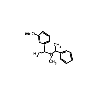 COc1cccc(C(C)N(C)C(C)c2ccccc2)c1